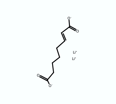 O=C([O-])C=CCCCCC(=O)[O-].[Li+].[Li+]